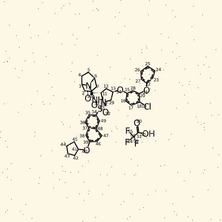 NC1CC2CCC(C1)N2C(=O)[C@@H]1C[C@@H](Oc2ccc(Cl)c(Oc3ccccc3)c2)CN1S(=O)(=O)c1ccc2cc(OC3CCCC3)ccc2c1.O=C(O)C(F)(F)F